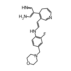 N=C/C(=C\N)C1=C(/C=C/Nc2ccc(CN3CCOCC3)cc2F)C=NC=CC1